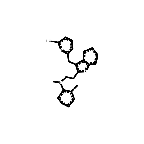 Cc1ccccc1N(C)CCc1sc2ccccc2c1Cc1cccc(O)n1